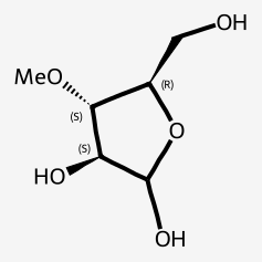 CO[C@H]1[C@H](O)C(O)O[C@@H]1CO